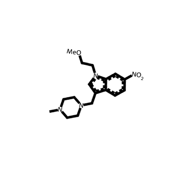 COCCn1cc(CN2CCN(C)CC2)c2ccc([N+](=O)[O-])cc21